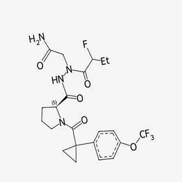 CCC(F)C(=O)N(CC(N)=O)NC(=O)[C@@H]1CCCN1C(=O)C1(c2ccc(OC(F)(F)F)cc2)CC1